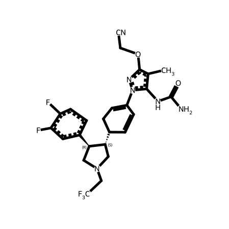 Cc1c(OCC#N)nn(C2=CCC([C@@H]3CN(CC(F)(F)F)C[C@H]3c3ccc(F)c(F)c3)C=C2)c1NC(N)=O